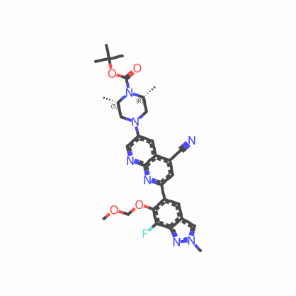 COCOc1c(-c2cc(C#N)c3cc(N4C[C@@H](C)N(C(=O)OC(C)(C)C)[C@@H](C)C4)cnc3n2)cc2cn(C)nc2c1F